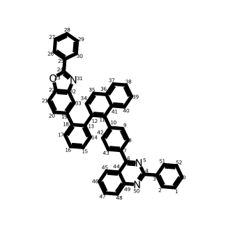 c1ccc(-c2nc(-c3ccc(-c4c(-c5ccccc5-c5ccc6oc(-c7ccccc7)nc6c5)ccc5ccccc45)cc3)c3ccccc3n2)cc1